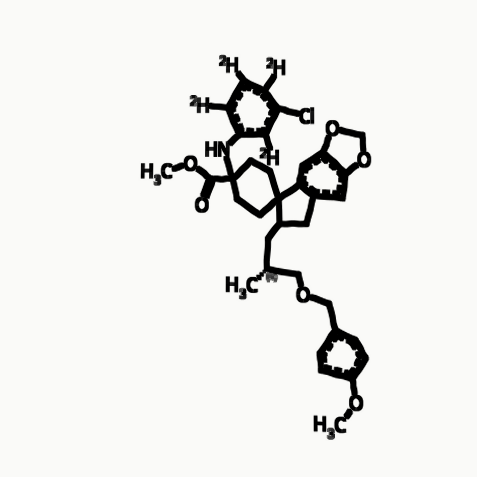 [2H]c1c([2H])c(Cl)c([2H])c(NC2(C(=O)OC)CCC3(CC2)c2cc4c(cc2CC3C[C@@H](C)COCc2ccc(OC)cc2)OCO4)c1[2H]